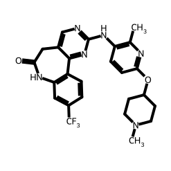 Cc1nc(OC2CCN(C)CC2)ccc1Nc1ncc2c(n1)-c1ccc(C(F)(F)F)cc1NC(=O)C2